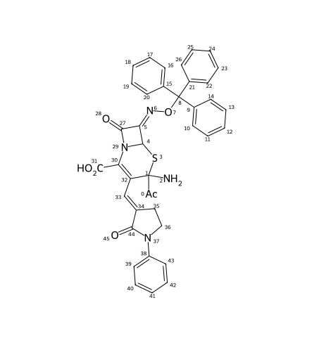 CC(=O)C1(N)SC2C(=NOC(c3ccccc3)(c3ccccc3)c3ccccc3)C(=O)N2C(C(=O)O)=C1C=C1CCN(c2ccccc2)C1=O